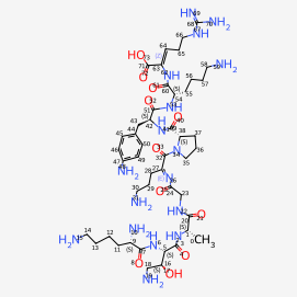 C[C@H](NC(=O)[C@@H](NC(=O)[C@@H](N)CCCCN)[C@@H](O)CN)C(=O)NCC(=O)/N=C(\CCCN)C(=O)N1CCC[C@H]1C(=O)N[C@@H](Cc1ccc(N)cc1)C(=O)N[C@@H](CCCCN)C(=O)N/C(=C\CCNC(=N)N)C(=O)O